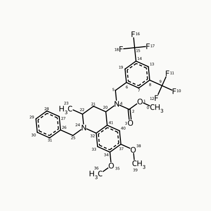 COC(=O)N(Cc1cc(C(F)(F)F)cc(C(F)(F)F)c1)C1CC(C)N(Cc2ccccc2)c2cc(OC)c(OC)cc21